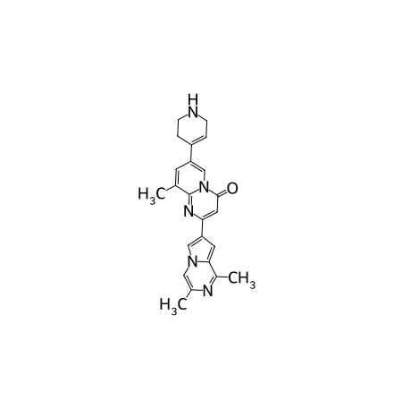 Cc1cn2cc(-c3cc(=O)n4cc(C5=CCNCC5)cc(C)c4n3)cc2c(C)n1